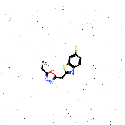 CC(=O)Cc1nnc(Cc2nc3ccc(F)cc3s2)o1